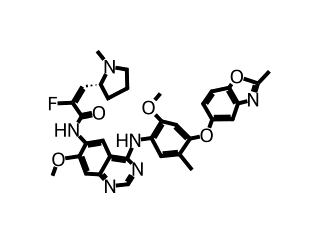 COc1cc2ncnc(Nc3cc(C)c(Oc4ccc5oc(C)nc5c4)cc3OC)c2cc1NC(=O)/C(F)=C\[C@H]1CCCN1C